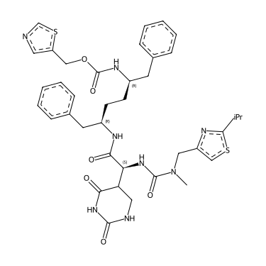 CC(C)c1nc(CN(C)C(=O)N[C@H](C(=O)N[C@H](CC[C@H](Cc2ccccc2)NC(=O)OCc2cncs2)Cc2ccccc2)C2CNC(=O)NC2=O)cs1